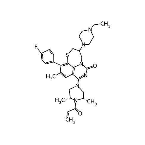 C=CC(=O)N1[C@H](C)CN(c2nc(=O)n3c4c(c(-c5ccc(F)cc5)c(C)cc24)SCC(N2CCN(CC)CC2)C3)C[C@@H]1C